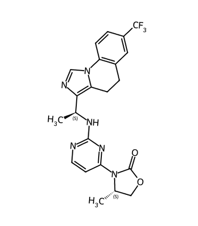 C[C@H](Nc1nccc(N2C(=O)OC[C@@H]2C)n1)c1ncn2c1CCc1cc(C(F)(F)F)ccc1-2